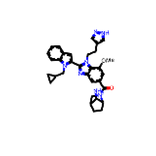 COc1cc(C(=O)N2CC3CCC2C3N)cc2nc(-c3cc4ccccc4n3CC3CC3)n(CCc3cn[nH]c3)c12